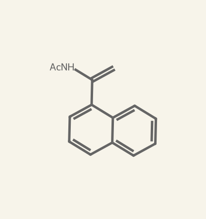 C=C(NC(C)=O)c1cccc2ccccc12